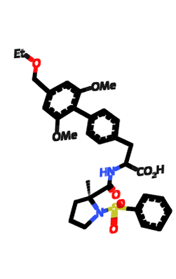 CCOCc1cc(OC)c(-c2ccc(CC(NC(=O)[C@]3(C)CCCN3S(=O)(=O)c3ccccc3)C(=O)O)cc2)c(OC)c1